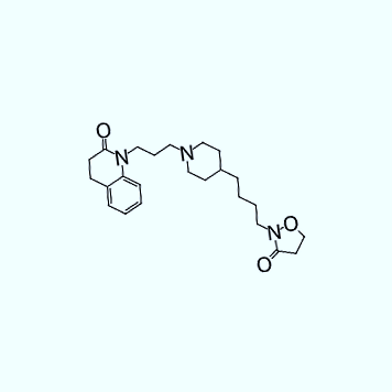 O=C1CCON1CCCCC1CCN(CCCN2C(=O)CCc3ccccc32)CC1